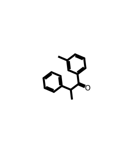 Cc1cccc(C(=O)C(C)c2ccccc2)c1